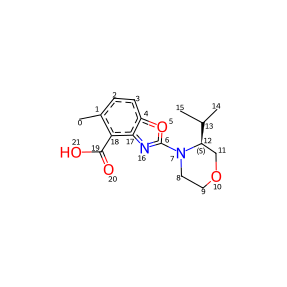 Cc1ccc2oc(N3CCOC[C@@H]3C(C)C)nc2c1C(=O)O